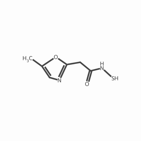 Cc1cnc(CC(=O)NS)o1